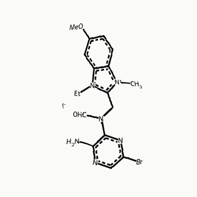 CCn1c(CN(C=O)c2nc(Br)cnc2N)[n+](C)c2ccc(OC)cc21.[I-]